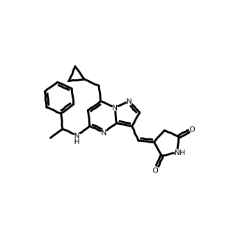 CC(Nc1cc(CC2CC2)n2ncc(/C=C3\CC(=O)NC3=O)c2n1)c1ccccc1